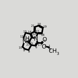 CCOC(=O)C1=CC2CCCN3CCc4c(n1c1ccccc41)[C@@H]23